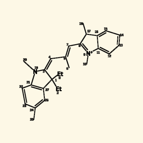 CCC1(CC)/C(=C\C(C)=C\C2=[N+](C)c3ccccc3C2C)N(C)c2ccc(C)cc21